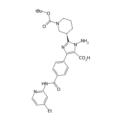 CCc1ccnc(NC(=O)c2ccc(-c3nc([C@@H]4CCCN(C(=O)OC(C)(C)C)C4)n(N)c3C(=O)O)cc2)c1